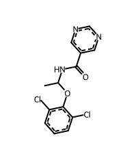 CC(NC(=O)c1cncnc1)Oc1c(Cl)cccc1Cl